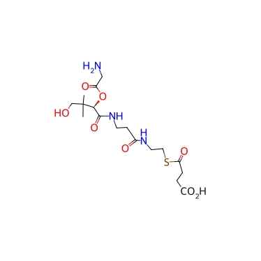 CC(C)(CO)[C@@H](OC(=O)CN)C(=O)NCCC(=O)NCCSC(=O)CCC(=O)O